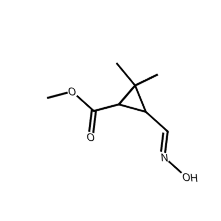 COC(=O)C1C(C=NO)C1(C)C